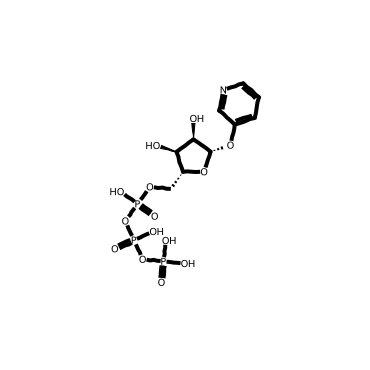 O=P(O)(O)OP(=O)(O)OP(=O)(O)OC[C@H]1O[C@@H](Oc2cccnc2)[C@H](O)[C@@H]1O